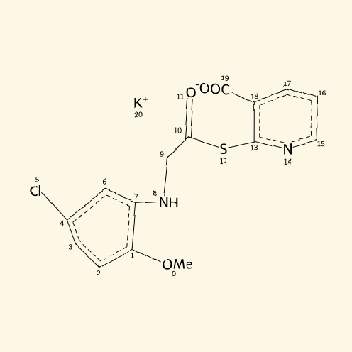 COc1ccc(Cl)cc1NCC(=O)Sc1ncccc1C(=O)[O-].[K+]